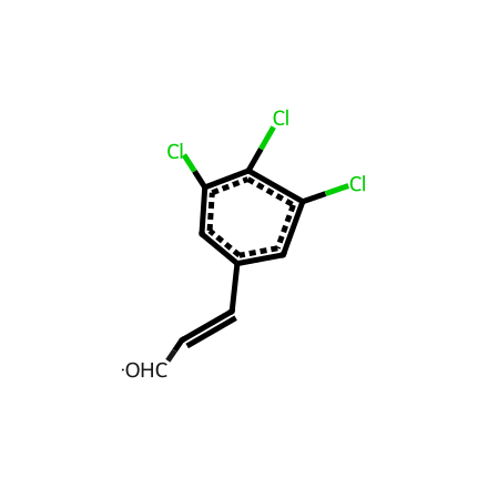 O=[C]C=Cc1cc(Cl)c(Cl)c(Cl)c1